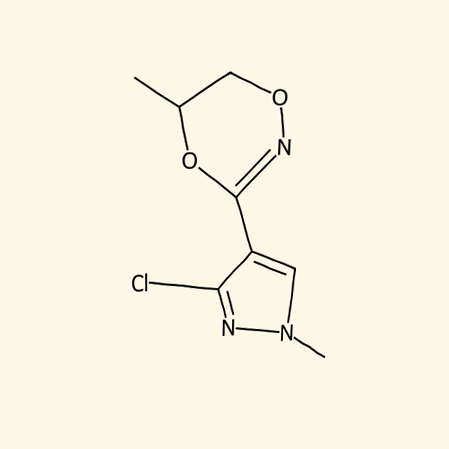 CC1CON=C(c2cn(C)nc2Cl)O1